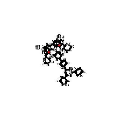 CC(C)(C)c1ccc2c(c1)c1cc(C(C)(C)C)ccc1n2-c1c(-n2c3cccnc3c3ncccc32)cc(-c2ccc(-c3cc(-c4ccccc4)nc(-c4ccccc4)n3)cc2)cc1-n1c2cccnc2c2ncccc21